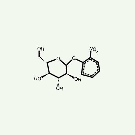 O=[N+]([O-])c1ccccc1OC1O[C@@H](CO)[C@H](O)[C@@H](O)[C@@H]1O